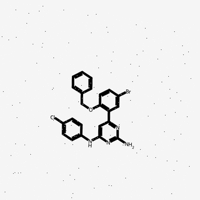 Nc1nc(Nc2ccc(Cl)cc2)cc(-c2cc(Br)ccc2OCc2ccccc2)n1